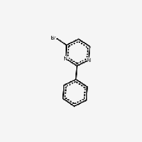 Brc1ccnc(-c2ccccc2)n1